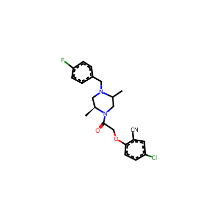 CC1CN(C(=O)COc2ccc(Cl)cc2C#N)[C@@H](C)CN1Cc1ccc(F)cc1